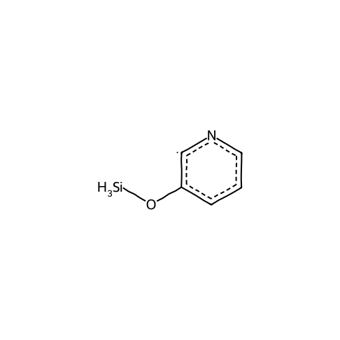 [SiH3]Oc1[c]nccc1